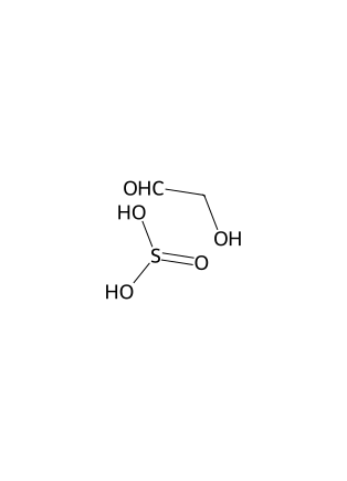 O=CCO.O=S(O)O